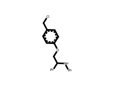 CC(C)NC(COc1ccc(CCl)cc1)C(C)C